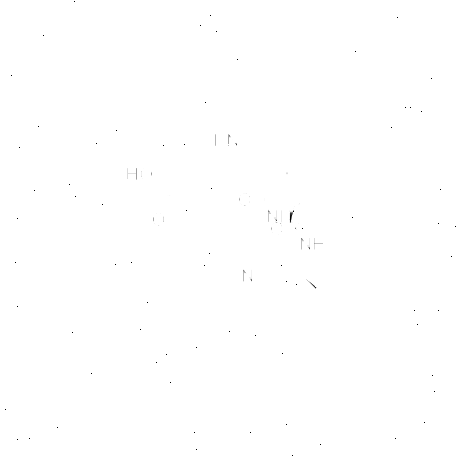 CC(C)C[C@@H](C#N)NC(=O)[C@@H]1CCCC[C@@]1(C(N)=O)c1c[nH]c2cc(C(=O)O)ccc12